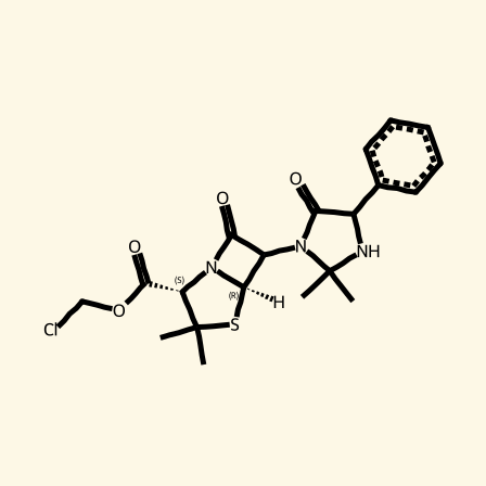 CC1(C)S[C@@H]2C(N3C(=O)C(c4ccccc4)NC3(C)C)C(=O)N2[C@H]1C(=O)OCCl